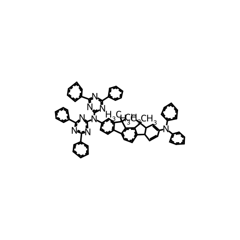 CC1(C)c2cc(N(c3nc(-c4ccccc4)nc(-c4ccccc4)n3)c3nc(-c4ccccc4)nc(-c4ccccc4)n3)ccc2-c2ccc3c(c21)C(C)(C)C1C=C(N(c2ccccc2)c2ccccc2)C=CC31